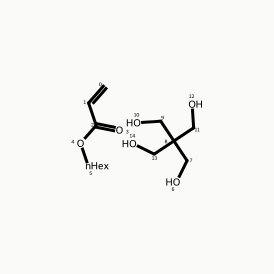 C=CC(=O)OCCCCCC.OCC(CO)(CO)CO